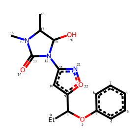 CCC(Oc1ccccc1)c1cc(N2C(=O)N(C)C(C)C2O)no1